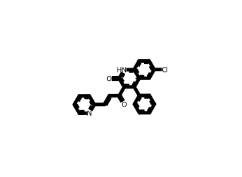 O=C(/C=C/c1ccccn1)c1c(-c2ccccc2)c2cc(Cl)ccc2[nH]c1=O